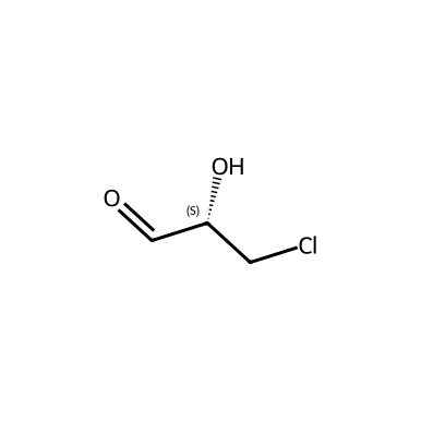 O=C[C@H](O)CCl